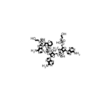 COC1C(OP(=O)(O)OC[C@H]2O[C@@H](n3cnc4c(N)ncnc43)C(OP(=O)(O)OC[C@]34CCCOC3C(OP(=O)(O)SCCO)[C@H](n3cnc5c(N)ncnc53)O4)C2O)[C@H](n2cnc3c(N)ncnc32)O[C@@H]1COP(=O)(O)OCCO